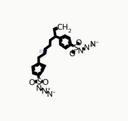 C=CC(CC/C=C/Cc1ccc(S(=O)(=O)N=[N+]=[N-])cc1)c1ccc(S(=O)(=O)N=[N+]=[N-])cc1